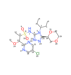 CCC(CC)n1c(NS(=O)(=O)C(C)C(OC)c2ncc(Cl)cn2)nnc1[C@@H]1COCCO1